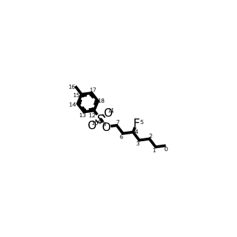 CCCCC(F)CCOS(=O)(=O)c1ccc(C)cc1